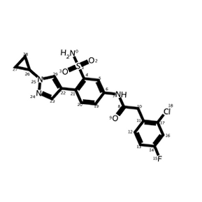 NS(=O)(=O)c1cc(NC(=O)Cc2ccc(F)cc2Cl)ccc1-c1cnn(C2CC2)c1